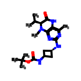 Cc1nc(N[C@H]2C[C@H](NC(=O)OC(C)(C)C)C2)nc2c1NC(=O)[C@H](C(C)C)N2C